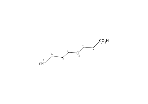 CCCOCCOCCC(=O)O